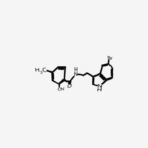 Cc1ccc(C(=O)NCCc2c[nH]c3ccc(Br)cc23)c(O)c1